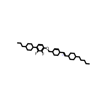 CCCCCC1CCC(/C=C/C2C=CC(COc3ccc(C4CCC(CCC)CC4)c(F)c3F)CC2)CC1